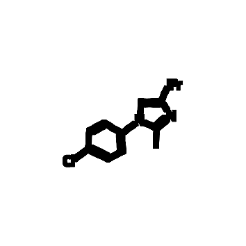 Cc1nc(C(C)C)cn1-c1ccc(Cl)cc1